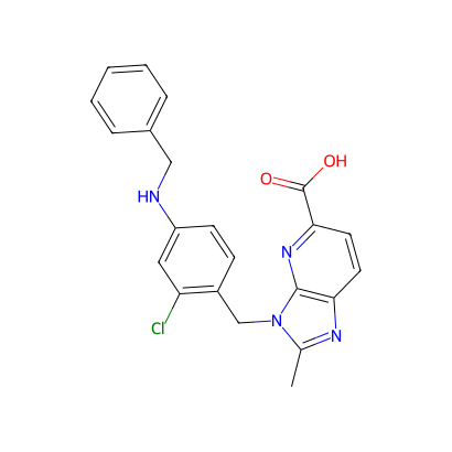 Cc1nc2ccc(C(=O)O)nc2n1Cc1ccc(NCc2ccccc2)cc1Cl